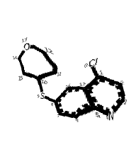 Clc1ccnc2ccc(SC3CCOCC3)cc12